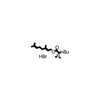 Br.CCCCC(C(=O)OC/C=C(\C)CCC=C(C)C)N(C)C